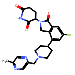 Cc1cnc(CN2CCC(c3cc(F)cc4c3CN(C3CCC(=O)NC3=O)C4=O)CC2)cn1